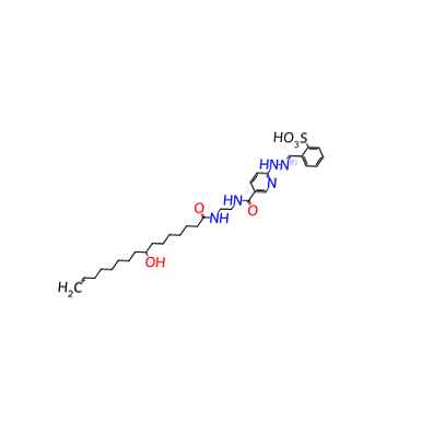 C=CCCCCCCC(O)CCCCCCC(=O)NCCNC(=O)c1ccc(N/N=C/c2ccccc2S(=O)(=O)O)nc1